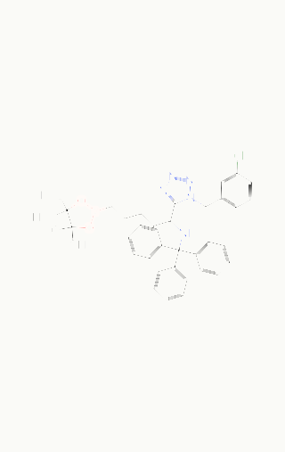 CC1(C)OB(CCCCC(NC(c2ccccc2)(c2ccccc2)c2ccccc2)c2nnnn2Cc2cccc(Cl)c2)OC1(C)C